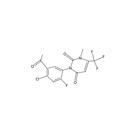 CC(=O)c1cc(-n2c(=O)cc(C(F)(F)F)n(C)c2=O)c(F)cc1Cl